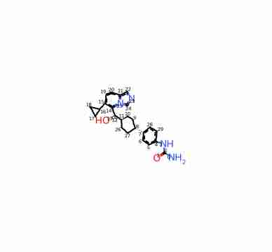 NC(=O)Nc1ccc([C@H]2CC[C@H]([C@H](O)c3c(C4CC4)ccc4cncn34)CC2)cc1